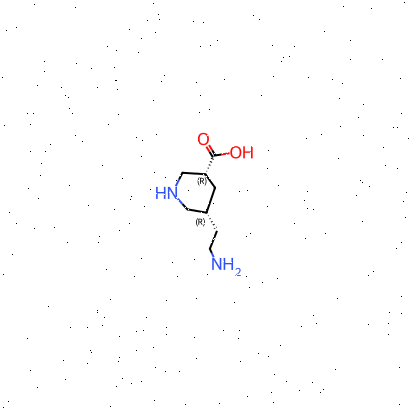 NCC[C@@H]1CNC[C@H](C(=O)O)C1